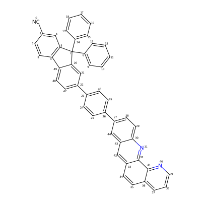 N#Cc1ccc2c(c1)C(c1ccccc1)(c1ccccc1)c1cc(-c3ccc(-c4ccc5nc6c(ccc7cccnc76)cc5c4)cc3)ccc1-2